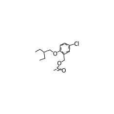 CCC(CC)COc1ccc(Cl)cc1COS(C)=O